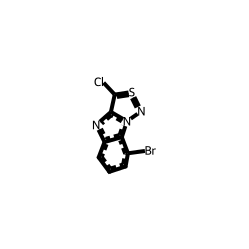 ClC1=S=Nn2c1nc1cccc(Br)c12